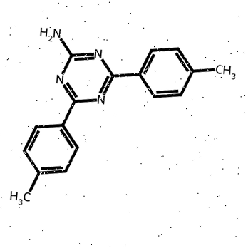 Cc1ccc(-c2nc(N)nc(-c3ccc(C)cc3)n2)cc1